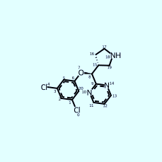 Clc1cc(Cl)cc(O[C@H](c2ncccn2)[C@@H]2CCNC2)c1